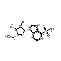 NS(=O)(=O)c1ncnc2c1ncn2[C@@H]1O[C@H](CO)[C@@H](O)[C@H]1O